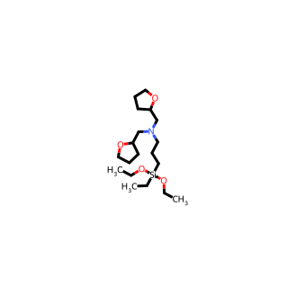 CCO[Si](CC)(CCCN(CC1CCCO1)CC1CCCO1)OCC